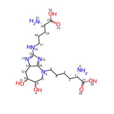 N[C@@H](CCCCN1C[C@@H](O)[C@@H](O)CC2N=C(NCCC[C@H](N)C(=O)O)N=C21)C(=O)O